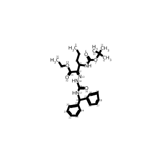 CCCC(NC(=O)OC(C)(C)C)/C(=N/NC(=O)NC(c1ccccc1)c1ccccc1)C(=O)OCC